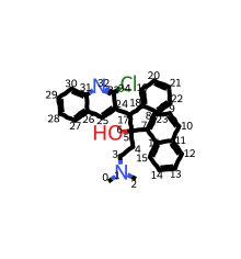 CN(C)CCC(O)(c1cccc2ccccc12)C(c1ccccc1)c1cc2ccccc2nc1Cl